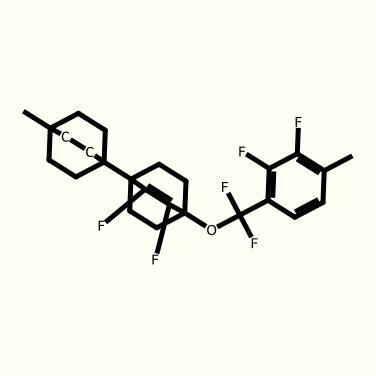 Cc1ccc(C(F)(F)OC23CCC(C45CCC(C)(CC4)CC5)(CC2)C(F)=C3F)c(F)c1F